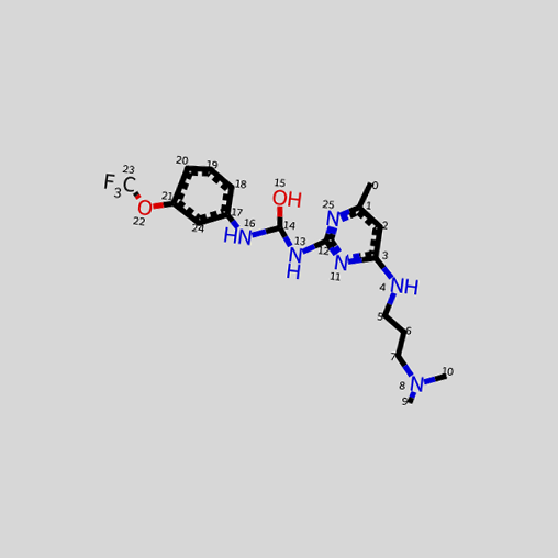 Cc1cc(NCCCN(C)C)nc(NC(O)Nc2cccc(OC(F)(F)F)c2)n1